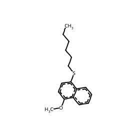 CCCCCCSc1ccc(OC)c2ccccc12